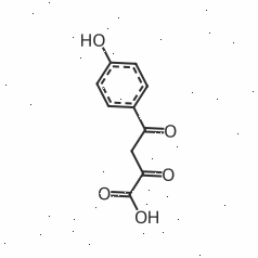 O=C(O)C(=O)CC(=O)c1ccc(O)cc1